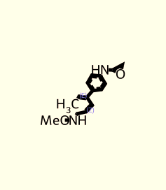 C/C=C(\C=C/CNOC)c1ccc(NC2CO2)cc1